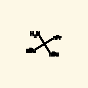 CCCCC(N)(CCC)CCCC